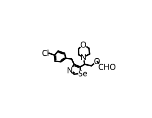 O=COCC(c1[se]cnc1Cc1ccc(Cl)cc1)N1CCOCC1